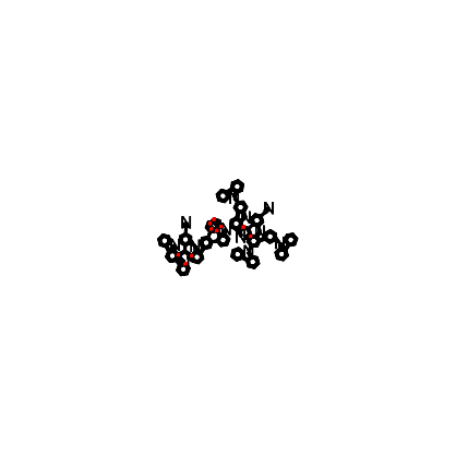 N#Cc1cc(-n2c3ccc(-n4c5ccccc5c5ccccc54)cc3c3cc(-n4c5ccccc5c5ccccc54)ccc32)c(-c2ccncc2)c(-n2c3ccc(-n4c5ccccc5c5ccccc54)cc3c3cc(-n4c5ccccc5c5c(-c6cc7c8ccccc8n(-c8cc(C#N)cc(-n9c%10ccccc%10c%10ccc(-c%11ccccc%11)cc%109)c8-c8ccncc8)c7cc6-c6ccccc6)cccc54)ccc32)c1